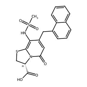 CS(=O)(=O)Nc1c(Cc2cccc3ccccc23)cc(=O)n2c1SC[C@H]2C(=O)O